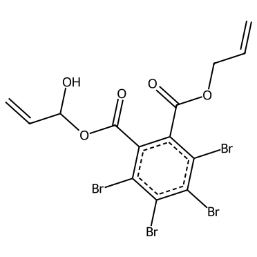 C=CCOC(=O)c1c(Br)c(Br)c(Br)c(Br)c1C(=O)OC(O)C=C